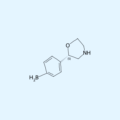 Bc1ccc([C@H]2CNCCO2)cc1